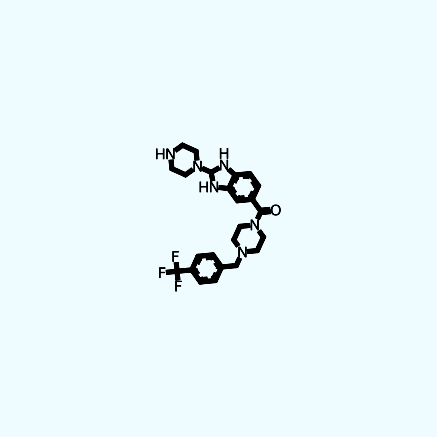 O=C(c1ccc2c(c1)NC(N1CCNCC1)N2)N1CCN(Cc2ccc(C(F)(F)F)cc2)CC1